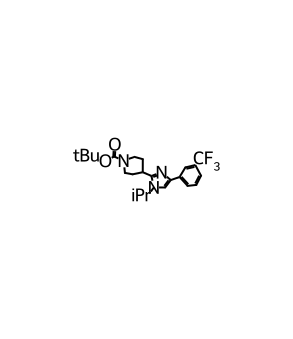 CC(C)n1cc(-c2cccc(C(F)(F)F)c2)nc1C1CCN(C(=O)OC(C)(C)C)CC1